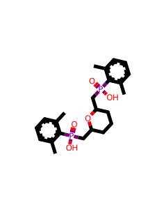 Cc1cccc(C)c1P(=O)(O)CC1CCCC(CP(=O)(O)c2c(C)cccc2C)O1